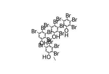 CC.Oc1cc(Br)c(Br)c(Br)c1Br.Oc1cc(Br)c(Br)c(Br)c1Br.Oc1cc(Br)c(Br)c(Br)c1Br.Oc1cc(Br)c(Br)c(Br)c1Br